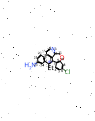 CC/C(=C1\c2ccc(Cl)cc2OCc2ncccc21)c1cccc(N)c1